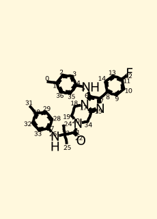 Cc1ccc(Nc2c(-c3ccc(F)cc3)nc3n2CCN(C(=O)C(C)(C)Nc2ccc(C)cc2)C3)cc1